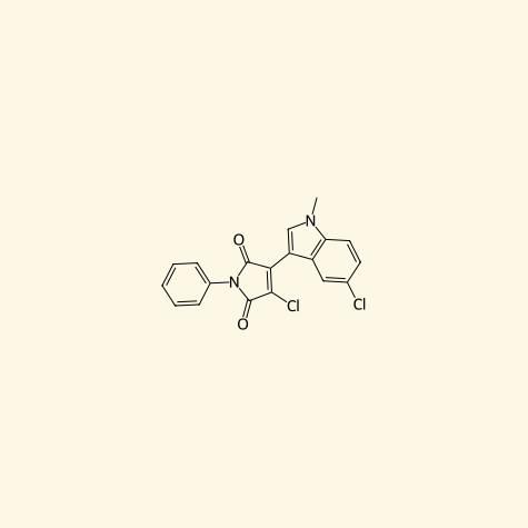 Cn1cc(C2=C(Cl)C(=O)N(c3ccccc3)C2=O)c2cc(Cl)ccc21